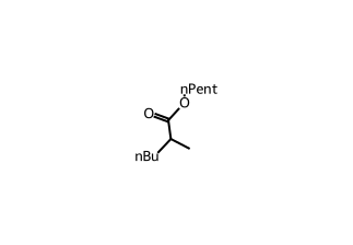 CCCCCOC(=O)C(C)CCCC